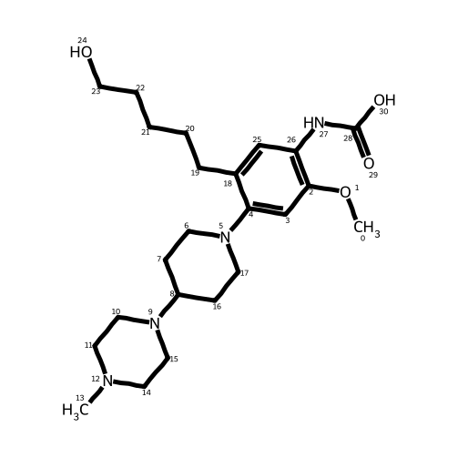 COc1cc(N2CCC(N3CCN(C)CC3)CC2)c(CCCCCO)cc1NC(=O)O